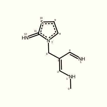 CN/C=C(\C=N)Cn1ccsc1=N